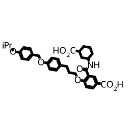 CC(C)Oc1ccc(COc2ccc(CCCOc3ccc(C(=O)O)cc3C(=O)NC3CCCC(C(=O)O)C3)cc2)cc1